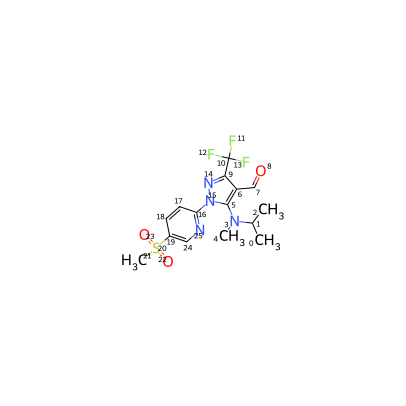 CC(C)N(C)c1c(C=O)c(C(F)(F)F)nn1-c1ccc(S(C)(=O)=O)cn1